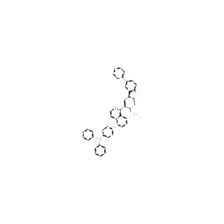 CC1Cc2oc3ccc(-c4ccccc4)cc3c2C=C1c1cccc2c(-c3ccc(N(c4ccccc4)c4ccccc4)cc3)cccc12